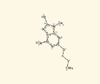 COCCOc1nc(N)c2nc(O)n(C)c2n1